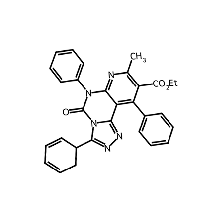 CCOC(=O)c1c(C)nc2c(c1-c1ccccc1)c1nnc(C3C=CC=CC3)n1c(=O)n2-c1ccccc1